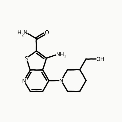 NC(=O)c1sc2nccc(N3CCCC(CO)C3)c2c1N